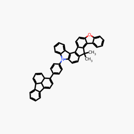 CC1(C)c2ccc3c(c2-c2ccc4oc5ccccc5c4c21)c1ccccc1n3-c1ccc(C2=CC=C3c4ccccc4C4=CC=CC2C43)cc1